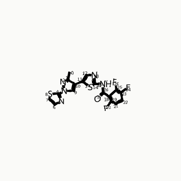 Cc1nn(-c2nccs2)cc1-c1cnc(NC(=O)c2c(F)ccc(F)c2F)s1